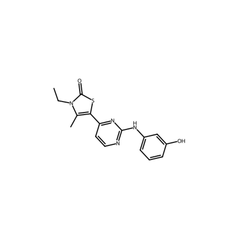 CCn1c(C)c(-c2ccnc(Nc3cccc(O)c3)n2)sc1=O